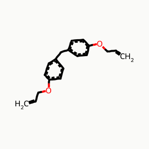 C=CCOc1ccc(Cc2ccc(OCC=C)cc2)cc1